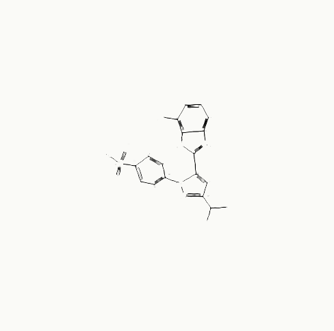 Cc1cccc2nc(-c3cc(C(F)F)nn3-c3ccc(S(N)(=O)=O)cc3)sc12